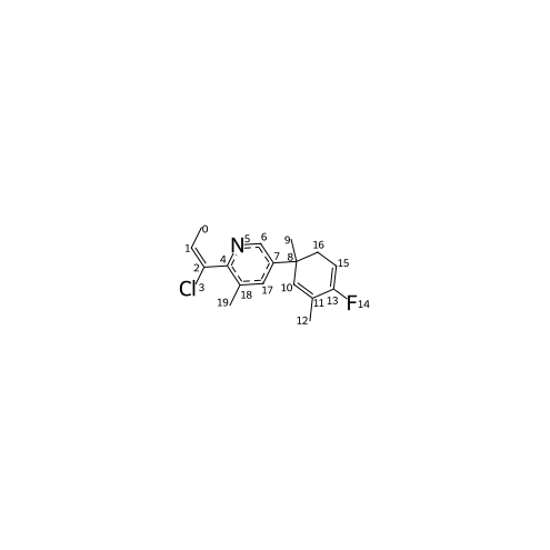 C/C=C(/Cl)c1ncc(C2(C)C=C(C)C(F)=CC2)cc1C